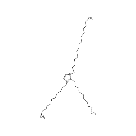 CCCCCCCCCCCCCCCn1cc[n+](CCCCCCCCCCC)c1CCCCCCCCCC